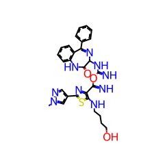 Cn1cc(-c2nc(C(=N)OC(=N)NC3N=C(c4ccccc4)c4ccccc4NC3=O)c(NCCCCO)s2)cn1